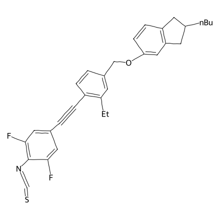 CCCCC1Cc2ccc(OCc3ccc(C#Cc4cc(F)c(N=C=S)c(F)c4)c(CC)c3)cc2C1